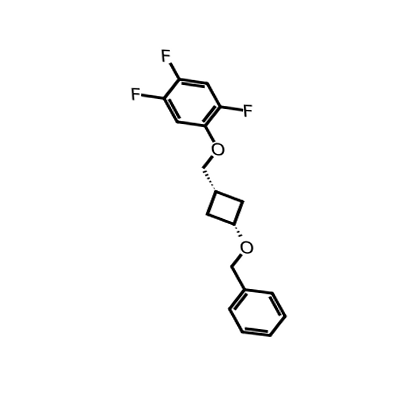 Fc1cc(F)c(OC[C@H]2C[C@@H](OCc3ccccc3)C2)cc1F